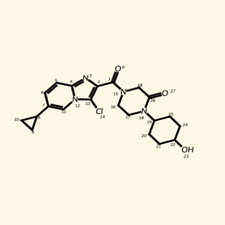 O=C(c1nc2ccc(C3CC3)cn2c1Cl)N1CCN(C2CCC(O)CC2)C(=O)C1